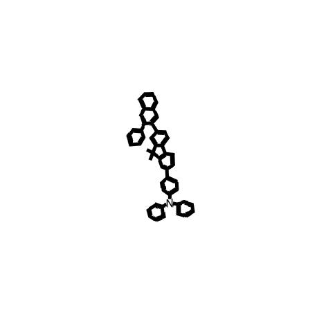 CC1(C)c2cc(-c3ccc(N(c4ccccc4)c4ccccc4)cc3)ccc2-c2ccc(-c3cc4ccccc4cc3-c3ccccc3)cc21